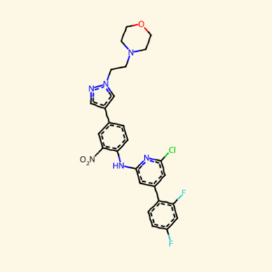 O=[N+]([O-])c1cc(-c2cnn(CCN3CCOCC3)c2)ccc1Nc1cc(-c2ccc(F)cc2F)cc(Cl)n1